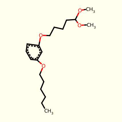 CCCCCCOc1cccc(OCCCCC(OC)OC)c1